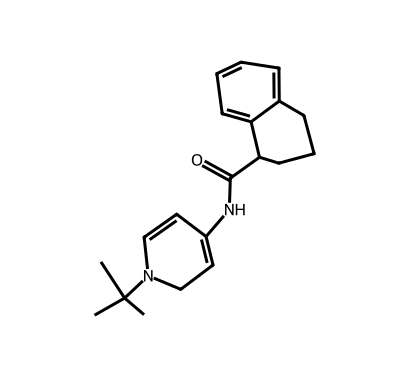 CC(C)(C)N1C=CC(NC(=O)C2CCCc3ccccc32)=CC1